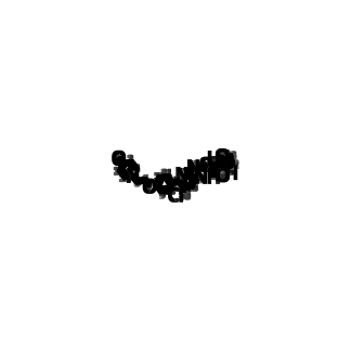 O=c1ccn(CCOc2ccc(-c3nc4nc(O[C@@H]5CO[C@@H]6CCO[C@@H]65)[nH]c4cc3Cl)cc2)cc1